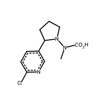 CN(C(=O)O)N1CCCC1c1ccc(Cl)nc1